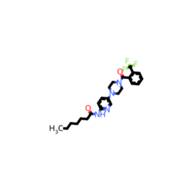 CCCCCCC(=O)Nc1ccc(N2CCN(C(=O)c3ccccc3C(F)(F)F)CC2)cn1